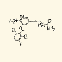 CC(Oc1cc(C#CCNC(N)=O)cnc1N)c1c(Cl)ccc(F)c1Cl